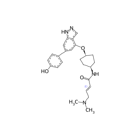 CN(C)C/C=C/C(=O)N[C@H]1CC[C@@H](Oc2cc(-c3ccc(O)cc3)cc3[nH]ncc23)CC1